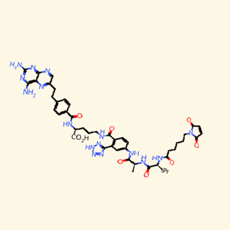 CC(C)[C@H](NC(=O)CCCCCN1C(=O)C=CC1=O)C(=O)N[C@@H](C)C(=O)Nc1ccc(C(=O)NCCC[C@H](NC(=O)c2ccc(CCc3cnc4nc(N)nc(N)c4n3)cc2)C(=O)O)c(-c2nn[nH]n2)c1